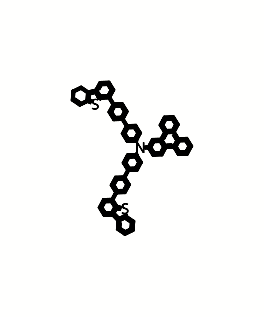 C1=Cc2sc3c(-c4ccc(-c5ccc(N(c6ccc(-c7ccc(-c8cccc9c8sc8ccccc89)cc7)cc6)c6ccc7c8ccccc8c8ccccc8c7c6)cc5)cc4)cccc3c2CC1